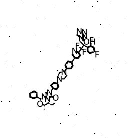 CC[C@@H]([C@H](C)OCc1ccccc1)n1ncn(-c2ccc(N3CCN(c4ccc(-c5ccc(C(F)(F)C(O)(Cn6cnnn6)c6ccc(F)cc6F)nc5)cc4)CC3)cc2)c1=O